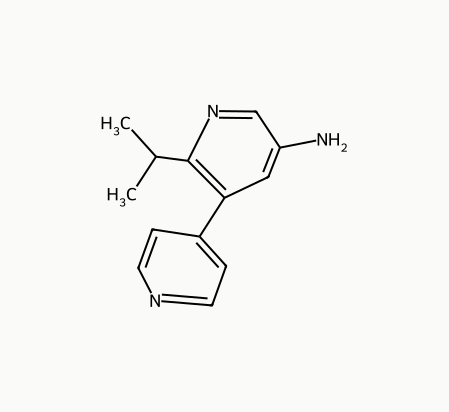 CC(C)c1ncc(N)cc1-c1ccncc1